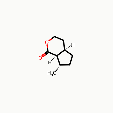 C[C@H]1CC[C@@H]2CCOC(=O)[C@@H]21